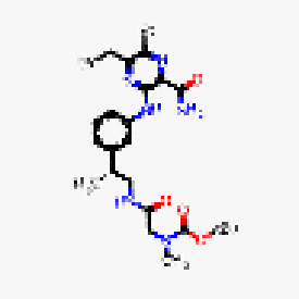 CCc1nc(C(N)=O)c(Nc2cccc([C@@H](C)CNC(=O)CN(C)C(=O)OC(C)(C)C)c2)nc1CC(C)C